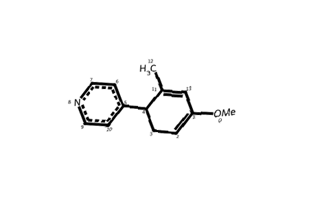 COC1=CCC(c2ccncc2)C(C)=C1